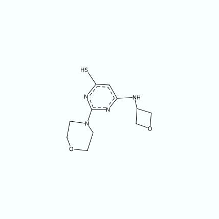 Sc1cc(NC2COC2)nc(N2CCOCC2)n1